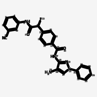 N#Cc1cccc(NC(=O)C(F)c2ccc(C(=O)Nc3nn(-c4ccccc4)cc3N)cc2)c1